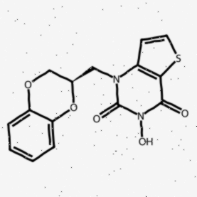 O=c1c2sccc2n(C[C@@H]2COc3ccccc3O2)c(=O)n1O